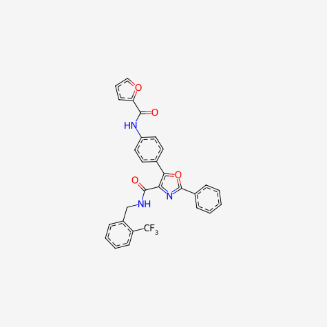 O=C(Nc1ccc(-c2oc(-c3ccccc3)nc2C(=O)NCc2ccccc2C(F)(F)F)cc1)c1ccco1